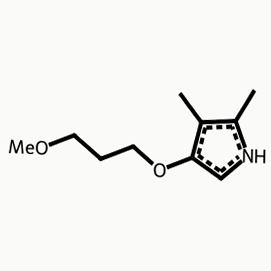 COCCCOc1c[nH]c(C)c1C